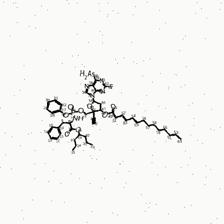 C#CC1(CO[P@@](=O)(NC(Cc2ccccc2)C(=O)OC(CCC)CCC)Oc2ccccc2)OC(n2cnc3c([AsH2])nc(F)nc32)CC1OC(=O)CCCCCCCCCCCCC